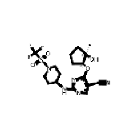 C[C@@]1(O)CCC[C@@H]1Oc1nc(NC2CCN(S(=O)(=O)C(F)(F)F)CC2)ncc1C#N